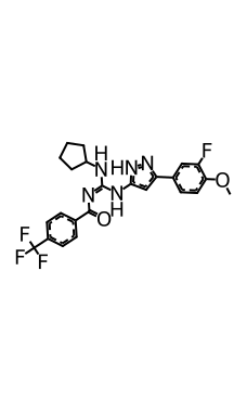 COc1ccc(-c2cc(N/C(=N\C(=O)c3ccc(C(F)(F)F)cc3)NC3CCCC3)[nH]n2)cc1F